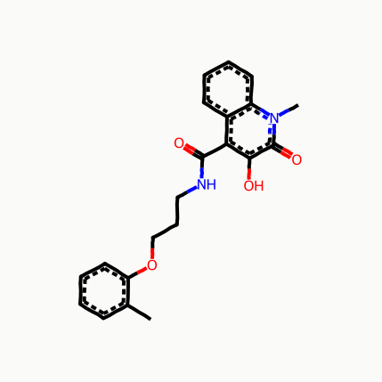 Cc1ccccc1OCCCNC(=O)c1c(O)c(=O)n(C)c2ccccc12